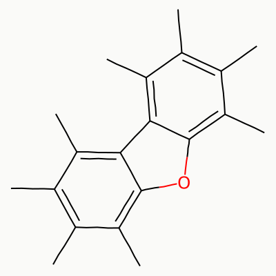 Cc1c(C)c(C)c2c(oc3c(C)c(C)c(C)c(C)c32)c1C